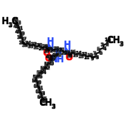 CCCCCCCC/C=C\CCCCCCCC(=O)NCCN(CCNC(=O)CCCCCCC/C=C\CCCCCCCC)CCNC(=O)CCCCCCC/C=C\CCCCCCCC